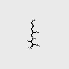 C=C(C)C(=O)NCC(O)CCCO